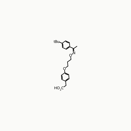 C/C(=N/OCCCOc1ccc(CC(=O)O)cc1)c1ccc(C(C)(C)C)cc1